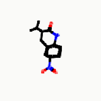 CC(C)C1Cc2cc([N+](=O)[O-])ccc2NC1=O